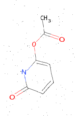 CC(=O)OC1=CC=CC(=O)[N]1